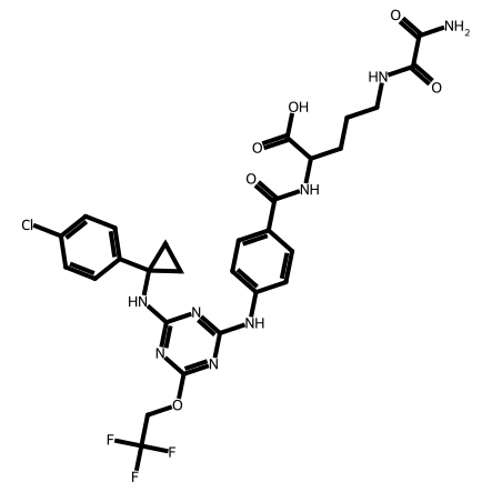 NC(=O)C(=O)NCCCC(NC(=O)c1ccc(Nc2nc(NC3(c4ccc(Cl)cc4)CC3)nc(OCC(F)(F)F)n2)cc1)C(=O)O